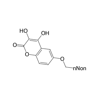 CCCCCCCCCCOc1ccc2oc(=O)c(O)c(O)c2c1